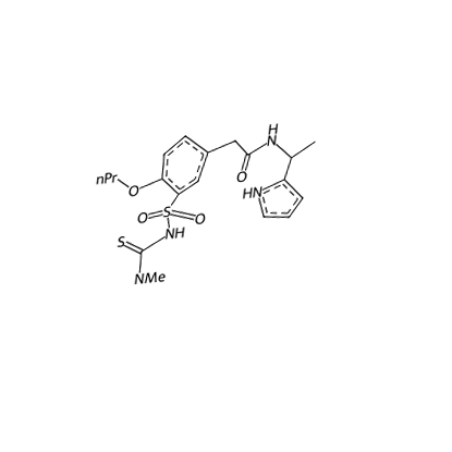 CCCOc1ccc(CC(=O)NC(C)c2ccc[nH]2)cc1S(=O)(=O)NC(=S)NC